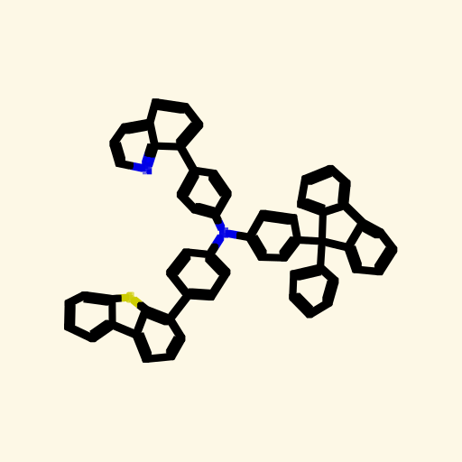 c1ccc(C2(c3ccc(N(c4ccc(-c5cccc6cccnc56)cc4)c4ccc(-c5cccc6c5sc5ccccc56)cc4)cc3)c3ccccc3-c3ccccc32)cc1